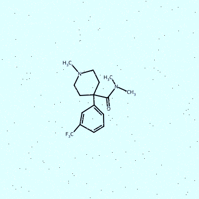 CN1CCC(C(=O)N(C)C)(c2cccc(C(F)(F)F)c2)CC1